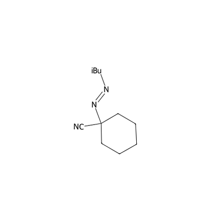 CCC(C)N=NC1(C#N)CCCCC1